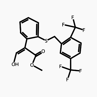 COC(=O)C(=CO)c1ccccc1SCc1cc(C(F)(F)F)ccc1C(F)(F)F